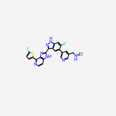 CCNCc1cncc(-c2cc3c(-c4nc5c(-c6ccc(F)s6)nccc5[nH]4)n[nH]c3cc2F)c1